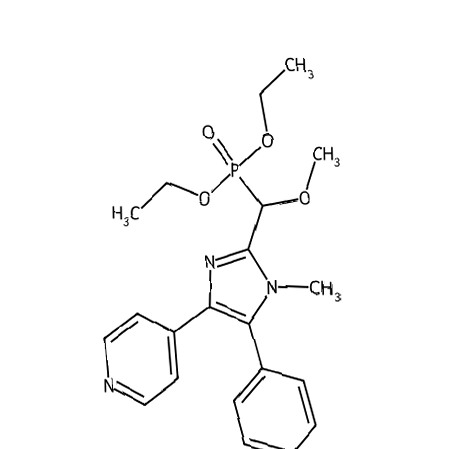 CCOP(=O)(OCC)C(OC)c1nc(-c2ccncc2)c(-c2ccccc2)n1C